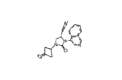 N#CC1CN(C2CC(=O)C2)C(=O)N1c1cncc2ccccc12